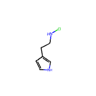 ClNCCc1cc[nH]c1